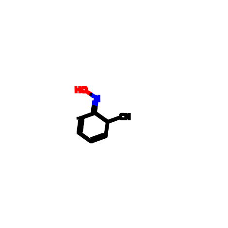 N#CC1C=CC=[C]C1=NO